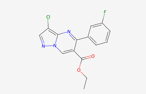 CCOC(=O)c1cn2ncc(Cl)c2nc1-c1cccc(F)c1